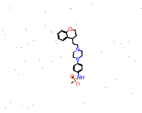 CS(=O)(=O)Nc1ccc(N2CCN(CCC3CCOc4ccccc43)CC2)cc1